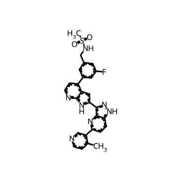 Cc1ccncc1-c1ccc2[nH]nc(-c3cc4c(-c5cc(F)cc(CNS(C)(=O)=O)c5)ccnc4[nH]3)c2n1